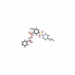 CC1CCN(S(=O)(=O)c2ccc(Cl)c(C(=O)OCC(=O)c3ccccc3)c2)CC1